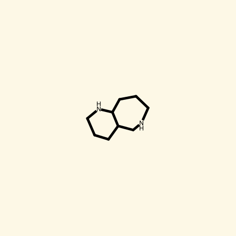 C1CNC2CCCNCC2C1